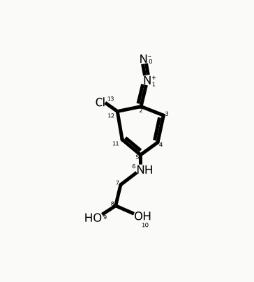 [N-]=[N+]=C1C=CC(NCC(O)O)=CC1Cl